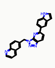 c1cnc2ccc(Cn3nnc4ccc(-c5ccc6[nH]ccc6c5)nc43)cc2c1